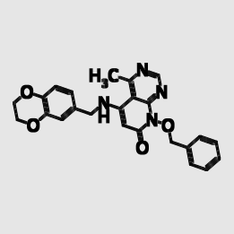 Cc1ncnc2c1c(NCc1ccc3c(c1)OCCO3)cc(=O)n2OCc1ccccc1